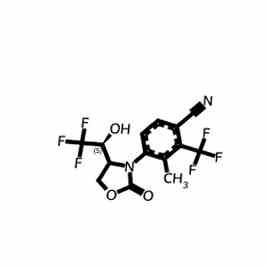 Cc1c(N2C(=O)OCC2[C@H](O)C(F)(F)F)ccc(C#N)c1C(F)(F)F